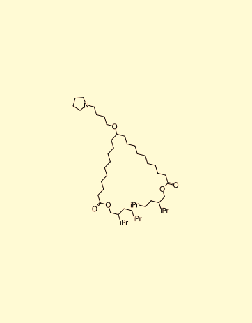 CC(C)CCC(COC(=O)CCCCCCCCCC(CCCCCCCCCC(=O)OCC(CCC(C)C)C(C)C)OCCCCN1CCCC1)C(C)C